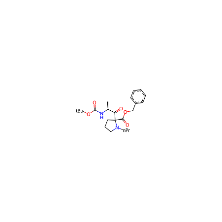 CCCN1CCC[C@]1(C(=O)OCc1ccccc1)C(=O)[C@H](C)NC(=O)OC(C)(C)C